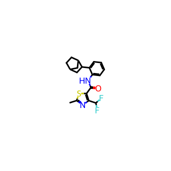 Cc1nc(C(F)F)c(C(=O)Nc2ccccc2C2CC3CCC2C3)s1